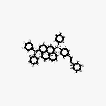 C(=Cc1ccc(N(c2ccccc2)c2cc3ccc(N(c4ccccc4)c4ccccc4)c4ccc5cccc2c5c34)cc1)c1ccccc1